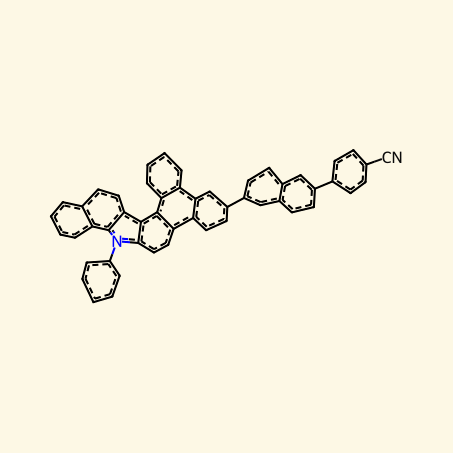 N#Cc1ccc(-c2ccc3cc(-c4ccc5c(c4)c4ccccc4c4c5ccc5c4c4ccc6ccccc6c4n5-c4ccccc4)ccc3c2)cc1